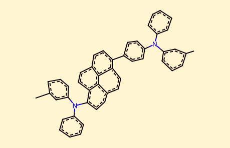 Cc1cccc(N(c2ccccc2)c2ccc(-c3ccc4ccc5c(N(c6ccccc6)c6cccc(C)c6)ccc6ccc3c4c65)cc2)c1